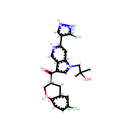 CC(C)(O)Cn1cc(C(=O)[C@@H]2COc3ccc(Cl)cc3C2)c2cnc(-c3cn[nH]c3F)cc21